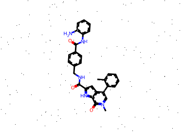 Cc1ccccc1-c1cn(C)c(=O)c2[nH]c(C(=O)NCc3ccc(C(=O)Nc4ccccc4N)cc3)cc12